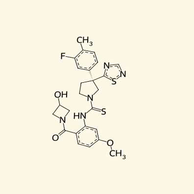 COc1ccc(C(=O)N2CC(O)C2)c(NC(=S)N2CC[C@@](c3ccc(C)c(F)c3)(c3ncns3)C2)c1